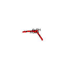 CCCCCCCCCCCCCCCCCC(=O)N(CC(O)CN(C(=O)CCCCCCCCCCCCCCCCC)C(C)O)C(C)O